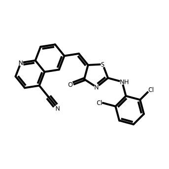 N#Cc1ccnc2ccc(C=C3SC(Nc4c(Cl)cccc4Cl)=NC3=O)cc12